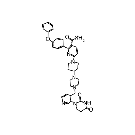 NC(=O)c1ccc(N2CCC(N3CCN(Cc4ccncc4N4CCC(=O)NC4=O)CC3)CC2)nc1-c1ccc(Oc2ccccc2)cc1